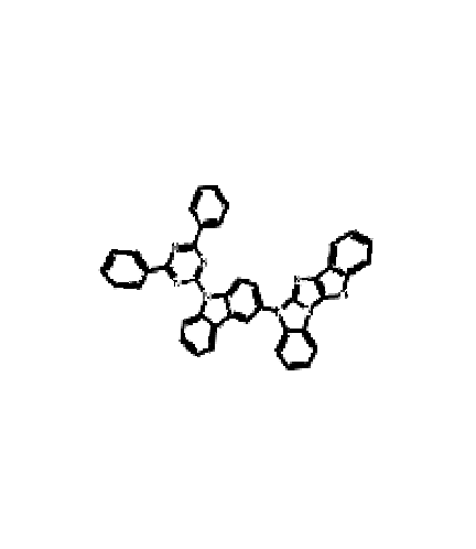 c1ccc(-c2nc(-c3ccccc3)nc(-n3c4ccccc4c4cc(-n5c6ccccc6n6c7oc8ccccc8c7nc56)ccc43)n2)cc1